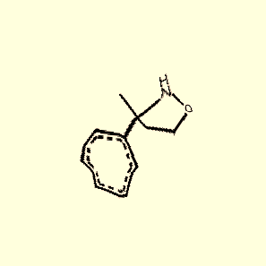 CC1(c2ccccc2)[CH]ON1